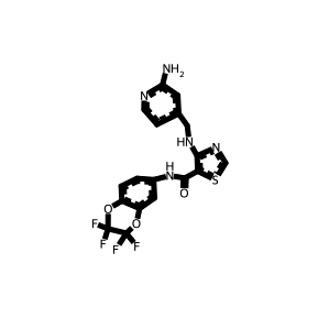 Nc1cc(CNc2ncsc2C(=O)Nc2ccc3c(c2)OC(F)(F)C(F)(F)O3)ccn1